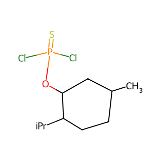 CC1CCC(C(C)C)C(OP(=S)(Cl)Cl)C1